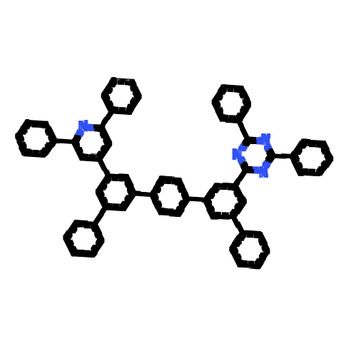 c1ccc(-c2cc(-c3ccc(-c4cc(-c5ccccc5)cc(-c5nc(-c6ccccc6)nc(-c6ccccc6)n5)c4)cc3)cc(-c3cc(-c4ccccc4)nc(-c4ccccc4)c3)c2)cc1